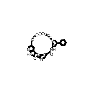 O=C1NC2CC(c3ccccc3)CN(CCOCCOCCCc3cnc4c(c3)[C@@]3(Cc5cc1cnc5C3)C(=O)N4)C2=O